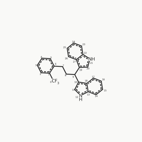 FC(F)(F)c1ccccc1CCC(c1c[nH]c2ccccc12)c1c[nH]c2ccccc12